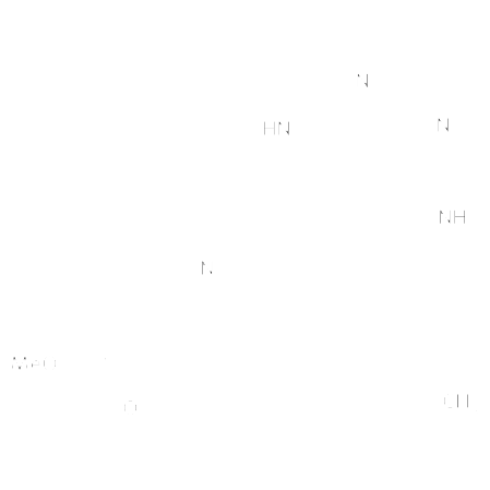 COC(=O)CCN1CCC(Nc2cc(Nc3cccc(C)c3)ncn2)CC1